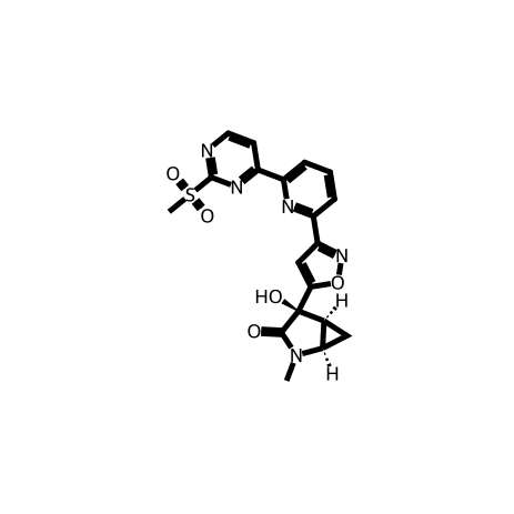 CN1C(=O)[C@](O)(c2cc(-c3cccc(-c4ccnc(S(C)(=O)=O)n4)n3)no2)[C@H]2C[C@H]21